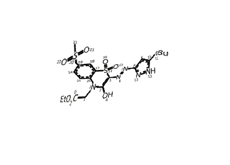 CCOC(=O)CN1C(O)=C(N=Nc2cc(C(C)(C)C)[nH]n2)S(=O)(=O)c2cc(S(C)(=O)=O)ccc21